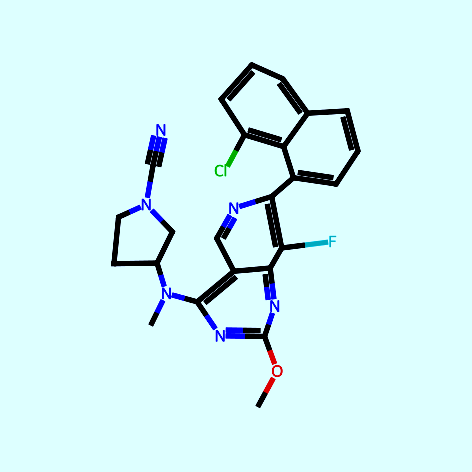 COc1nc(N(C)C2CCN(C#N)C2)c2cnc(-c3cccc4cccc(Cl)c34)c(F)c2n1